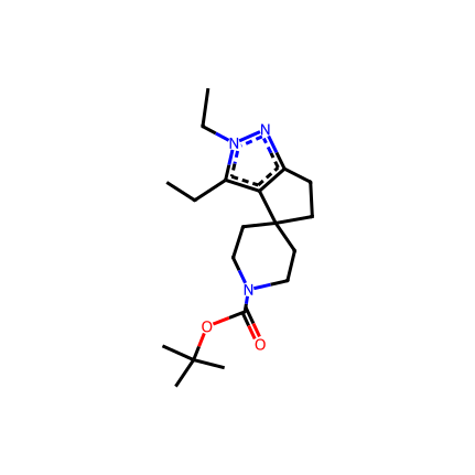 CCc1c2c(nn1CC)CCC21CCN(C(=O)OC(C)(C)C)CC1